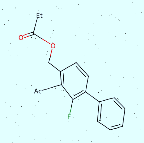 CCC(=O)OCc1ccc(-c2ccccc2)c(F)c1C(C)=O